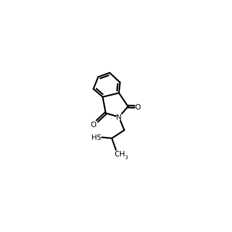 CC(S)CN1C(=O)c2ccccc2C1=O